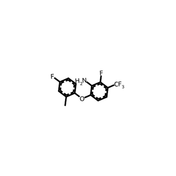 Cc1cc(F)ccc1Oc1ccc(C(F)(F)F)c(F)c1N